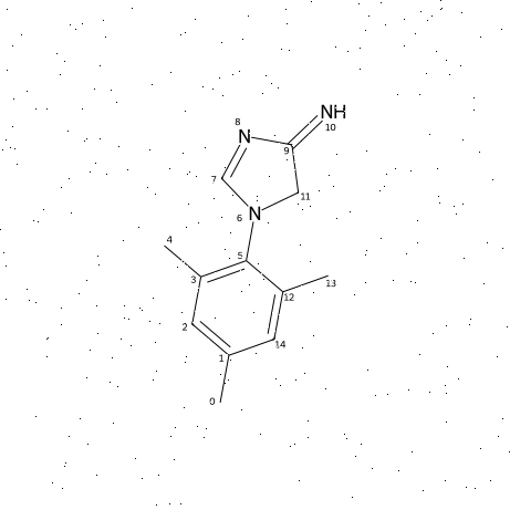 Cc1cc(C)c(N2C=NC(=N)C2)c(C)c1